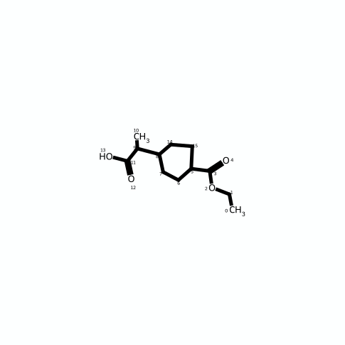 CCOC(=O)C1CCC(C(C)C(=O)O)CC1